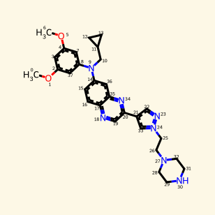 COc1cc(OC)cc(N(CC2CC2)c2ccc3ncc(-c4cnn(CCN5CCNCC5)c4)nc3c2)c1